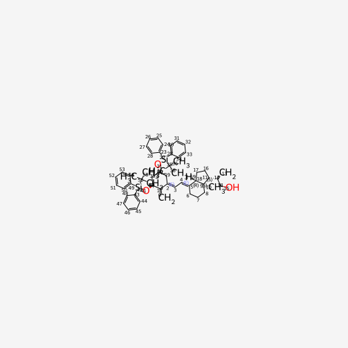 C=C1/C(=C/C=C2\CCC[C@]3(C)[C@@H](C(=C)CO)CC[C@@H]23)C[C@@H](O[Si](c2ccccc2)(c2ccccc2)C(C)(C)C)C[C@@H]1O[Si](c1ccccc1)(c1ccccc1)C(C)(C)C